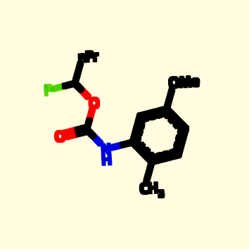 CCCC(F)OC(=O)Nc1cc(OC)ccc1C